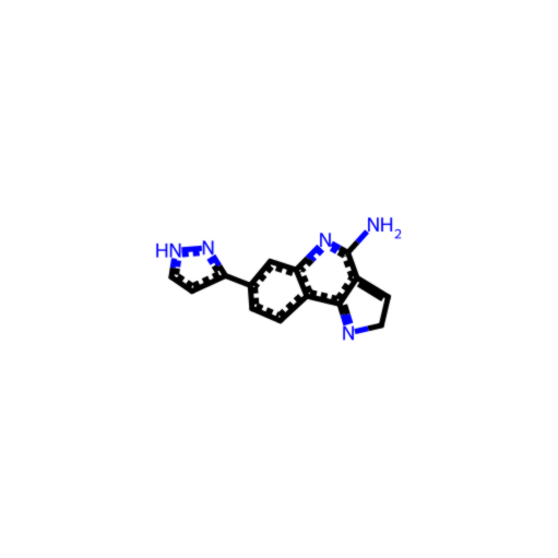 Nc1nc2cc(-c3cc[nH]n3)ccc2c2c1=CCN=2